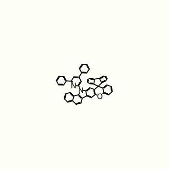 c1ccc(-c2cc(-c3ccccc3)nc(-n3c4cc5c(cc4c4ccc6ccccc6c43)Oc3ccccc3C53c4ccccc4-c4ccccc43)c2)cc1